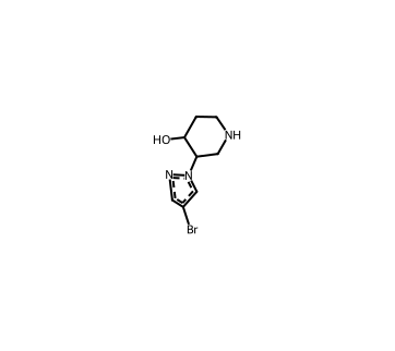 OC1CCNCC1n1cc(Br)cn1